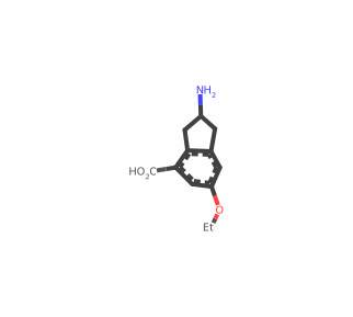 CCOc1cc2c(c(C(=O)O)c1)CC(N)C2